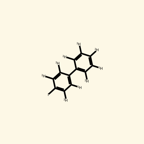 [2H]c1c([2H])c([2H])c(-c2c([2H])c([2H])c(I)c([2H])c2[2H])c([2H])c1[2H]